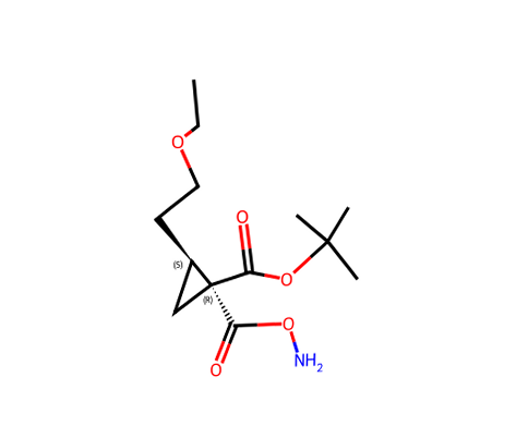 CCOCC[C@@H]1C[C@]1(C(=O)ON)C(=O)OC(C)(C)C